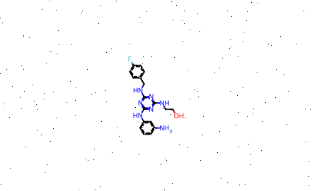 Nc1cccc(Nc2nc(NCCO)nc(NCc3ccc(F)cc3)n2)c1